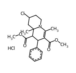 COC(=O)C1=C(C)N2CCC(Cl)CC2(C)C(C(=O)OC)C1c1ccccc1.Cl